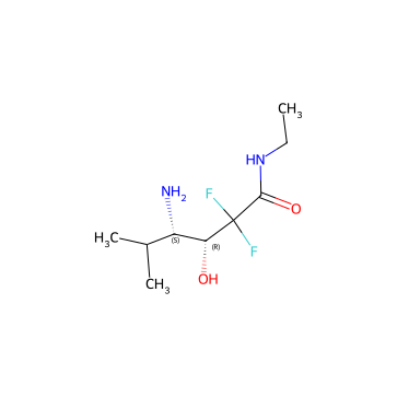 CCNC(=O)C(F)(F)[C@H](O)[C@@H](N)C(C)C